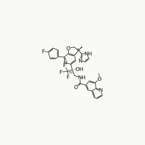 COc1cc(C(=O)NC[C@](O)(c2cc3c(c(-c4ccc(F)cc4)n2)OC[C@]3(C)c2ncc[nH]2)C(F)(F)F)cc2cccnc12